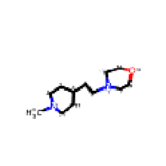 CN1CCC(C[CH]N2CCOCC2)CC1